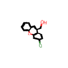 OCC1=Cc2ccccc2Oc2cc(Cl)ccc21